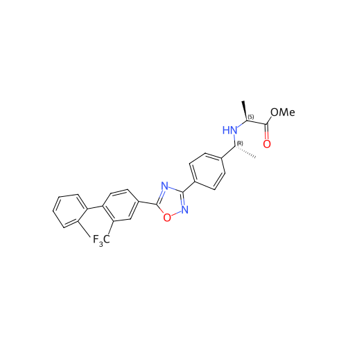 COC(=O)[C@H](C)N[C@H](C)c1ccc(-c2noc(-c3ccc(-c4ccccc4C)c(C(F)(F)F)c3)n2)cc1